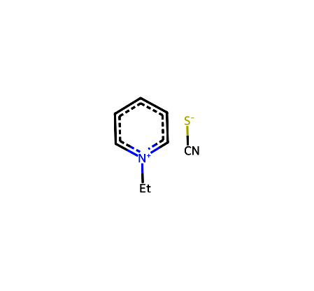 CC[n+]1ccccc1.N#C[S-]